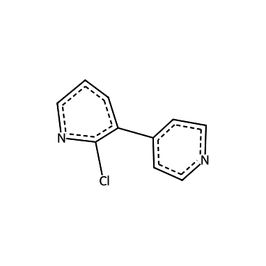 Clc1ncccc1-c1ccncc1